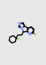 Fc1ccc2c(n1)C(CCC1(F)CCCCC1)n1cncc1-2